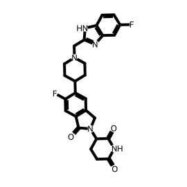 O=C1CCC(N2Cc3cc(C4CCN(Cc5nc6cc(F)ccc6[nH]5)CC4)c(F)cc3C2=O)C(=O)N1